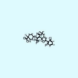 CC(C)(C)CN(CC(=O)c1c(F)cccc1Cl)C(=O)c1cnn(C2CCC(C)(C(=O)O)CC2)c1C(F)(F)F